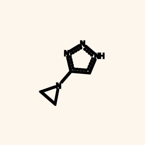 c1[nH]nnc1N1CC1